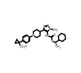 C[C@@H](OC(=O)Nc1c(C2CCN(c3ccc(C4(C(=O)O)CC4)cc3)CC2)nnn1C)C1CCCCC1